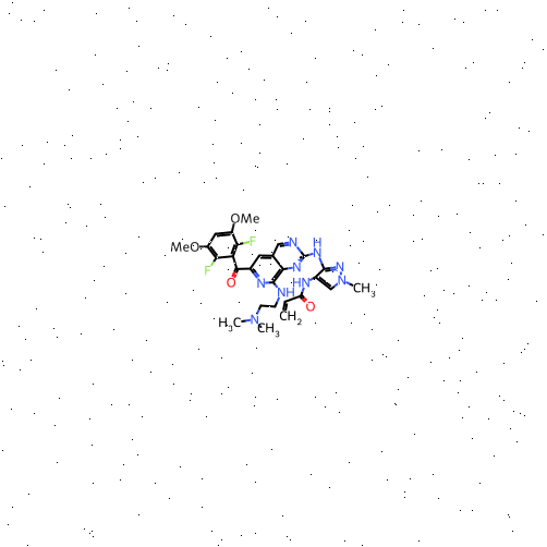 C=CC(=O)Nc1cn(C)nc1Nc1ncc2cc(C(=O)c3c(F)c(OC)cc(OC)c3F)nc(NCCN(C)C)c2n1